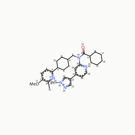 COc1ccc(C2CCC(CN(C(=O)C3CCCCC3)c3cc(-c4cnn(C(C)C)c4)ccn3)CC2)nc1C